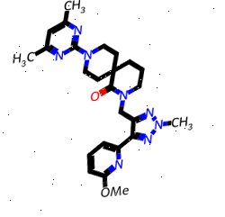 COc1cccc(-c2nn(C)nc2CN2CCCC3(CCN(c4nc(C)cc(C)n4)CC3)C2=O)n1